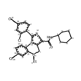 CCN1Cc2c(C(=O)NC3CCCCC3)nc(-c3ccc(Cl)cc3Cl)n2-c2ccc(Cl)cc21